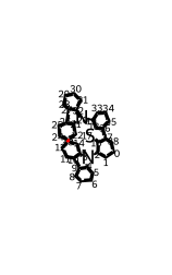 c1cc(-n2c3ccccc3c3ccccc32)c2sc3c(-n4c5ccccc5c5ccccc54)cccc3c2c1